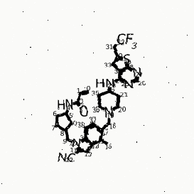 C=CC(=O)NC1CCC(Cn2c(C#N)cc3c(C)c(CN4CCC(Nc5ncnc6sc(CC(F)(F)F)cc56)CC4)ccc32)C1